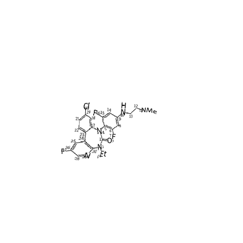 CCN1C(=O)N(c2c(F)cc(NCCNC)cc2F)c2cc(Cl)ccc2-c2cc(F)cnc21